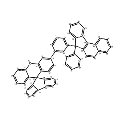 c1ccc(C2(c3cccc(-c4ccc5c(c4)Oc4ccccc4C54c5ccccc5-c5ccccc54)c3)c3ccccc3-c3c2ccc2ccccc32)cc1